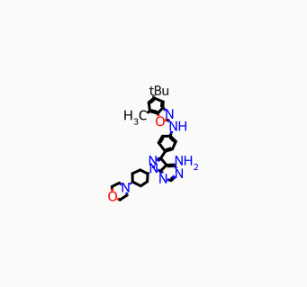 Cc1cc(C(C)(C)C)cc2nc(Nc3ccc(-c4nn([C@H]5CC[C@H](N6CCOCC6)CC5)c5ncnc(N)c45)cc3)oc12